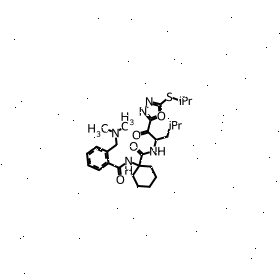 CC(C)CC(NC(=O)C1(NC(=O)c2ccccc2CN(C)C)CCCCC1)C(=O)c1nnc(SC(C)C)o1